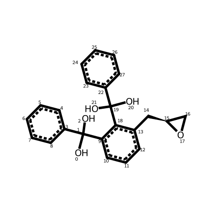 OC(O)(c1ccccc1)c1cccc(C[C@H]2CO2)c1C(O)(O)c1ccccc1